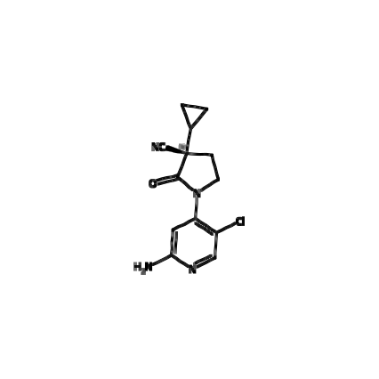 N#C[C@@]1(C2CC2)CCN(c2cc(N)ncc2Cl)C1=O